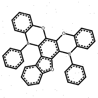 c1ccc(B2c3ccccc3Oc3c4c(c5c(oc6ccccc65)c32)B(c2ccccc2)c2ccccc2O4)cc1